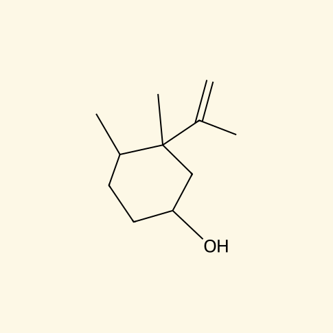 C=C(C)C1(C)CC(O)CCC1C